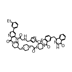 CCc1cccc(-c2cnc(C(=O)N3CCC(CN4CCN(CC(=O)N5CCN(C(=O)c6cc(Cc7n[nH]c(=O)c8ccccc78)ccc6F)CC5)CC4)CC3)c(NC(=O)CNCc3cnn(C)c3)c2)c1